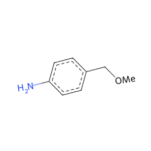 COCc1ccc(N)cc1